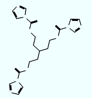 O=C(OCCC(CCOC(=O)n1ccnc1)CCOC(=O)n1ccnc1)n1ccnc1